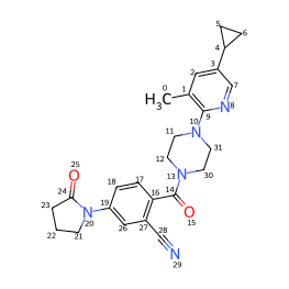 Cc1cc(C2CC2)cnc1N1CCN(C(=O)c2ccc(N3CCCC3=O)cc2C#N)CC1